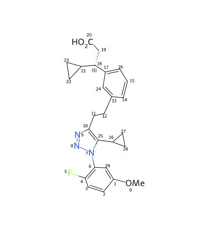 COc1ccc(F)c(-n2nnc(CCc3cccc([C@@H](CC(=O)O)C4CC4)c3)c2C2CC2)c1